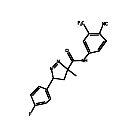 [C-]#[N+]c1ccc(NC(=O)C2(C)CC(c3ccc(F)cc3)N=N2)cc1C(F)(F)F